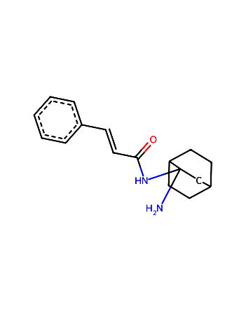 NC1(NC(=O)C=Cc2ccccc2)CC2CCC1CC2